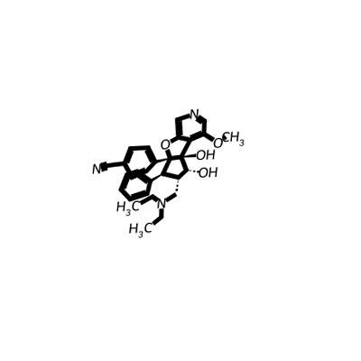 CCN(CC)C[C@H]1[C@@H](O)[C@@]2(O)c3c(OC)cncc3O[C@@]2(c2ccc(C#N)cc2)[C@@H]1c1ccccc1